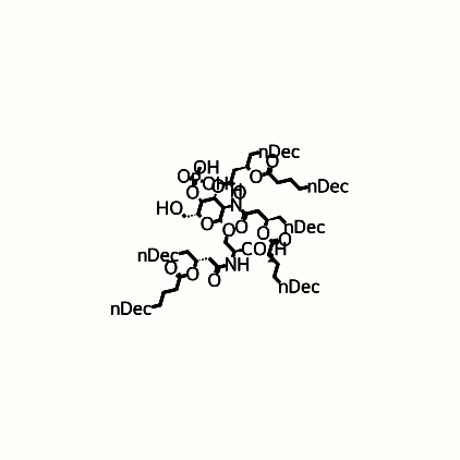 CCCCCCCCCCCCCC(=O)O[C@H](CCCCCCCCCCC)CC(=O)N[C@H]1[C@H](OC[C@H](NC(=O)C[C@@H](CCCCCCCCCCC)OC(=O)CCCCCCCCCCCCC)C(=O)O)O[C@H](CO)[C@@H](OP(=O)(O)O)[C@@H]1OC(=O)C[C@@H](CCCCCCCCCCC)OC(=O)CCCCCCCCCCCCC